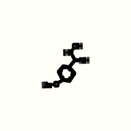 CCC(C)Oc1ccc(C(=N)NO)cc1